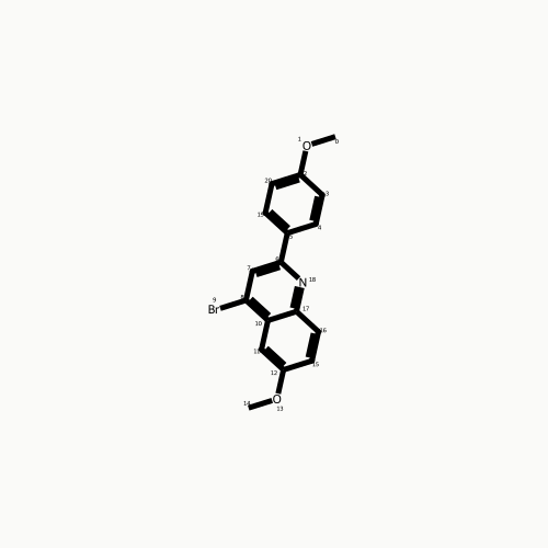 COc1ccc(-c2cc(Br)c3cc(OC)ccc3n2)cc1